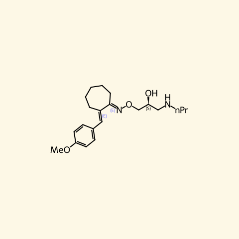 CCCNC[C@H](O)CO/N=C1\CCCCC\C1=C/c1ccc(OC)cc1